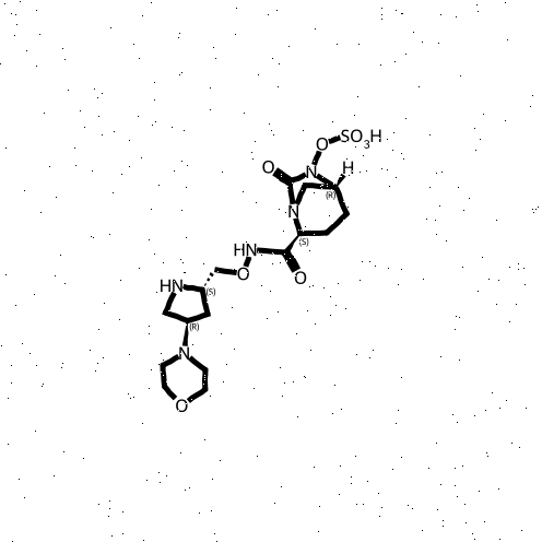 O=C(NOC[C@@H]1C[C@@H](N2CCOCC2)CN1)[C@@H]1CC[C@@H]2CN1C(=O)N2OS(=O)(=O)O